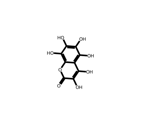 O=c1oc2c(O)c(O)c(O)c(O)c2c(O)c1O